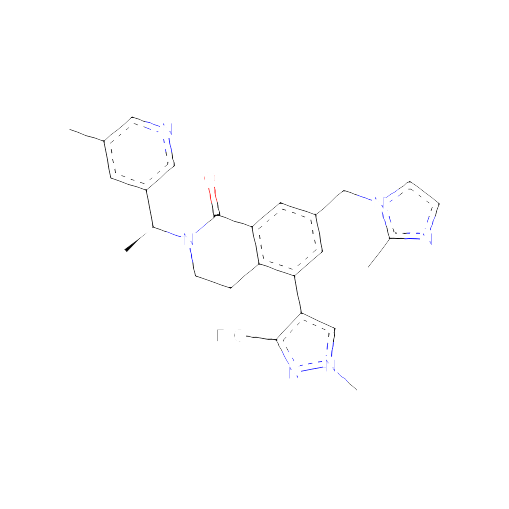 Cc1cncc([C@H](C)N2CCc3c(cc(Cn4ccnc4C)cc3-c3cn(C)nc3C(F)(F)F)C2=O)c1